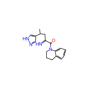 CC(CC(=N)C(=O)N1CCCc2ccccc21)c1cn[nH]c1